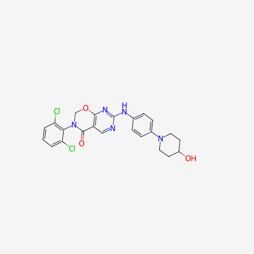 O=C1c2cnc(Nc3ccc(N4CCC(O)CC4)cc3)nc2OCN1c1c(Cl)cccc1Cl